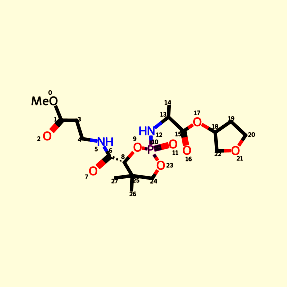 COC(=O)CCNC(=O)[C@@H]1OP(=O)(NC(C)C(=O)OC2CCOC2)OCC1(C)C